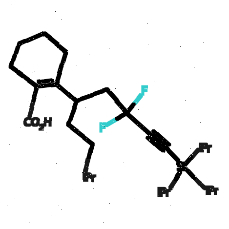 CC(C)CCC(CC(F)(F)C#C[Si](C(C)C)(C(C)C)C(C)C)C1=C(C(=O)O)CCCC1